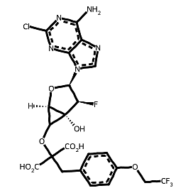 Nc1nc(Cl)nc2c1ncn2[C@@H]1O[C@@H]2C(OC(Cc3ccc(OCC(F)(F)F)cc3)(C(=O)O)C(=O)O)[C@]2(O)[C@@H]1F